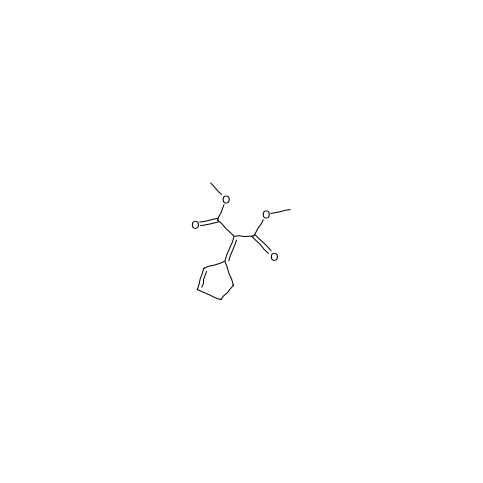 COC(=O)C(C(=O)OC)=C1C=CCC1